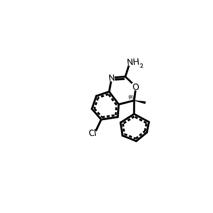 C[C@]1(c2ccccc2)OC(N)=Nc2ccc(Cl)cc21